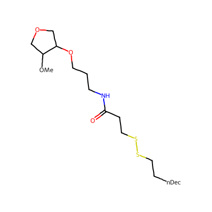 CCCCCCCCCCCCSSCCC(=O)NCCCOC1COCC1OC